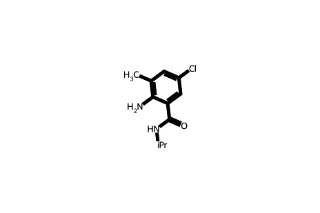 Cc1cc(Cl)cc(C(=O)NC(C)C)c1N